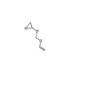 C=COCOC1CO1